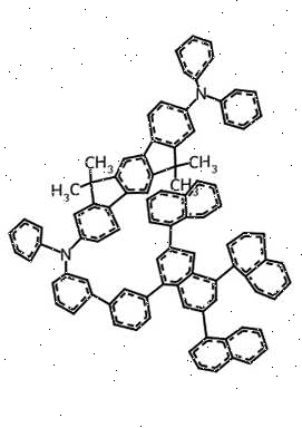 CC1(C)c2cc(N(c3ccccc3)c3ccccc3)ccc2-c2cc3c(cc21)-c1ccc(N(c2ccccc2)c2cccc(-c4cccc(-c5cc(-c6cccc7ccccc67)cc6c(-c7cccc8ccccc78)cc(-c7cccc8ccccc78)cc56)c4)c2)cc1C3(C)C